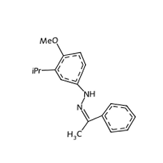 COc1ccc(NN=C(C)c2ccccc2)cc1C(C)C